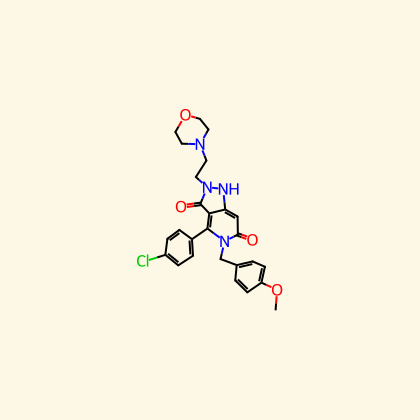 COc1ccc(Cn2c(-c3ccc(Cl)cc3)c3c(=O)n(CCN4CCOCC4)[nH]c3cc2=O)cc1